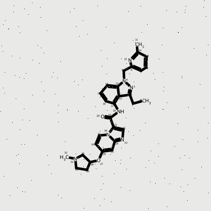 CCc1nn(Cc2cccc(C)n2)c2cccc(NC(=O)c3cnc4cc(OC5CCN(C)C5)ccn34)c12